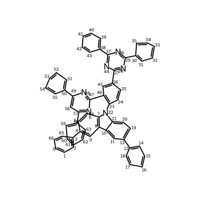 c1ccc(-c2ccc3c(c2)c2cc(-c4ccccc4)ccc2n3-c2ccc(-c3nc(-c4ccccc4)nc(-c4ccccc4)n3)cc2-c2nc(-c3ccccc3)cc(-c3ccccc3)n2)cc1